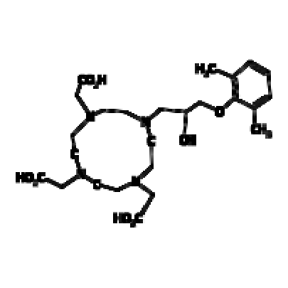 Cc1cccc(C)c1OCC(O)CN1CCN(CC(=O)O)CCN(CC(=O)O)CCN(CC(=O)O)CC1